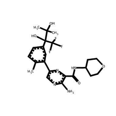 Cc1ccc(C(O)(C(C)(C)O)C(F)(F)F)cc1-c1cnc(N)c(C(=O)NC2CCOCC2)n1